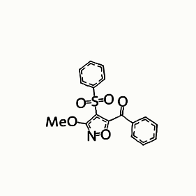 COc1noc(C(=O)c2ccccc2)c1S(=O)(=O)c1ccccc1